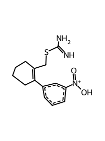 N=C(N)SCC1=C(c2cccc([N+](=O)O)c2)CCCC1